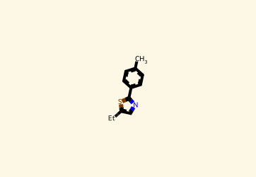 CCc1cnc(-c2ccc(C)cc2)s1